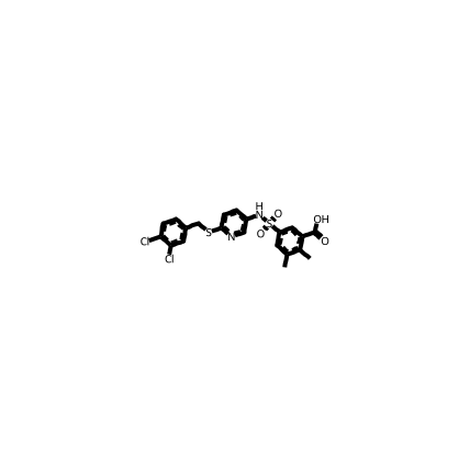 Cc1cc(S(=O)(=O)Nc2ccc(SCc3ccc(Cl)c(Cl)c3)nc2)cc(C(=O)O)c1C